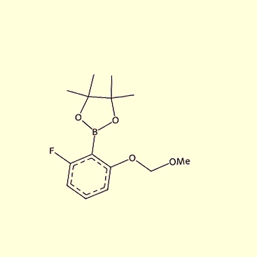 COCOc1cccc(F)c1B1OC(C)(C)C(C)(C)O1